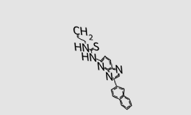 C=CCNC(=S)Nc1ccc2ncc(-c3ccc4ccccc4c3)nc2n1